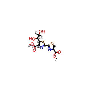 COC(=O)c1csc(-c2nc(C(=O)OC)c(C(O)C(C)(C)O)s2)n1